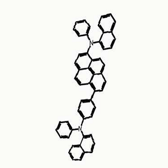 c1ccc(N(c2ccc(-c3ccc4ccc5c(N(c6ccccc6)c6cccc7ccccc67)ccc6ccc3c4c65)cc2)c2cccc3ccccc23)cc1